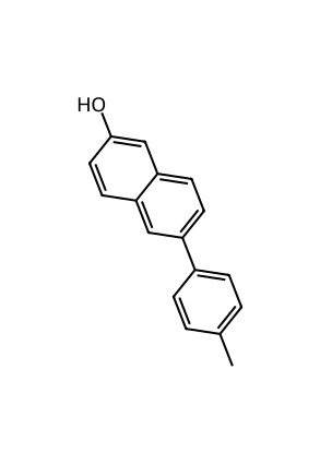 Cc1ccc(-c2ccc3cc(O)ccc3c2)cc1